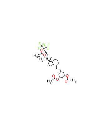 CC(=O)OC1C/C(=C/C=C2\CCC[C@]3(C)C(C(C)CC#CC(OC(C)=O)(C(F)(F)F)C(F)(F)F)=CCC23)C[C@@H](OC(C)=O)C1